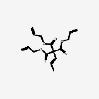 C=CCOC(=O)C(/C=C/C)(C(=O)OCC=C)C(=O)OCC=C